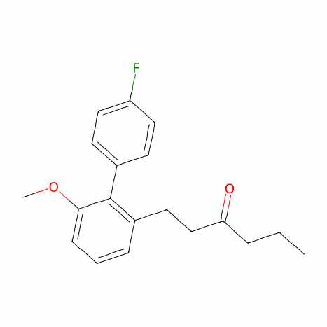 CCCC(=O)CCc1cccc(OC)c1-c1ccc(F)cc1